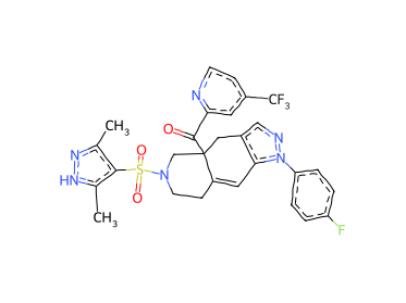 Cc1n[nH]c(C)c1S(=O)(=O)N1CCC2=Cc3c(cnn3-c3ccc(F)cc3)CC2(C(=O)c2cc(C(F)(F)F)ccn2)C1